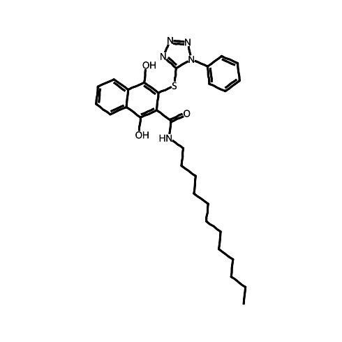 CCCCCCCCCCCCNC(=O)c1c(Sc2nnnn2-c2ccccc2)c(O)c2ccccc2c1O